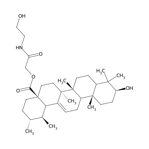 C[C@@H]1CC[C@]2(C(=O)OCC(=O)NCCO)CC[C@]3(C)C(=CCC4[C@@]5(C)CC[C@H](O)C(C)(C)C5CC[C@]43C)C2[C@H]1C